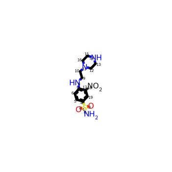 NS(=O)(=O)c1ccc(NCCN2CCNCC2)c([N+](=O)[O-])c1